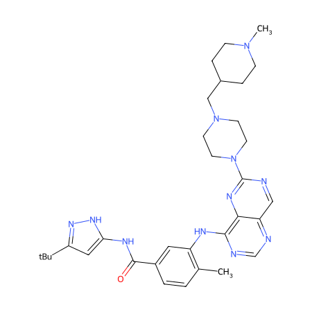 Cc1ccc(C(=O)Nc2cc(C(C)(C)C)n[nH]2)cc1Nc1ncnc2cnc(N3CCN(CC4CCN(C)CC4)CC3)nc12